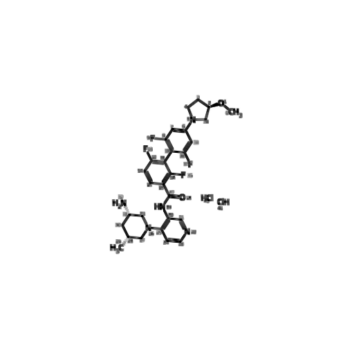 CO[C@@H]1CCN(c2cc(F)c(-c3c(F)ccc(C(=O)Nc4cnccc4N4C[C@H](C)C[C@H](N)C4)c3F)c(F)c2)C1.Cl.Cl